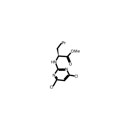 COC(=O)[C@H](CC(C)C)Nc1nc(Cl)cc(Cl)n1